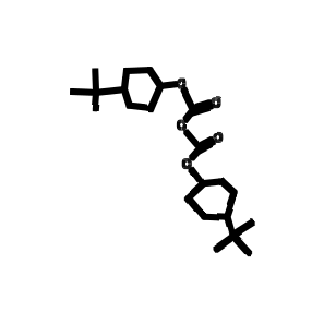 CC(C)(C)C1CCC(OC(=O)OC(=O)OC2CCC(C(C)(C)C)CC2)CC1